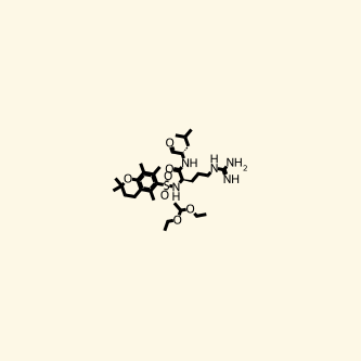 CCOC(C)OCC.Cc1c(C)c(S(=O)(=O)N[C@H](CCCNC(=N)N)C(=O)N[C@H](C=O)CC(C)C)c(C)c2c1OC(C)(C)CC2